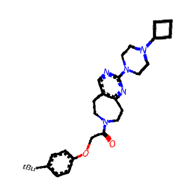 CC(C)(C)c1ccc(OCC(=O)N2CCc3cnc(N4CCN(C5CCC5)CC4)nc3CC2)cc1